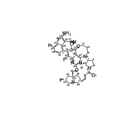 C=CC(=O)N1CC[C@@H](N2CCCOc3c(Cl)c(-c4ccc(F)c5sc(N)c(C#N)c45)c(F)c4nc(OC[C@@]56CCCN5C[C@H](F)C6)nc2c34)[C@H]1C